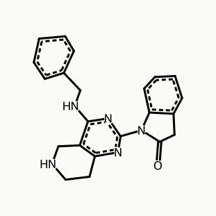 O=C1Cc2ccccc2N1c1nc2c(c(NCc3ccccc3)n1)CNCC2